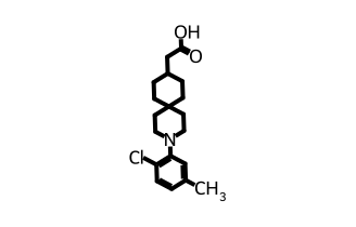 Cc1ccc(Cl)c(N2CCC3(CCC(CC(=O)O)CC3)CC2)c1